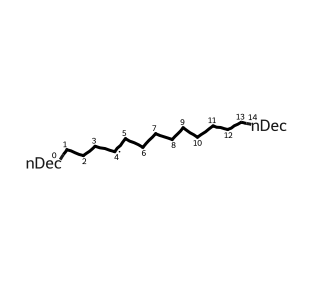 CCCCCCCCCCCCC[CH]CCCCCCCCCCCCCCCCCCC